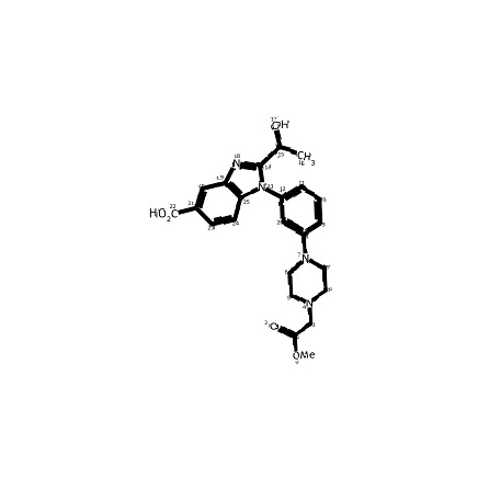 COC(=O)CN1CCN(c2cccc(-n3c(C(C)O)nc4cc(C(=O)O)ccc43)c2)CC1